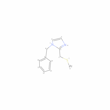 [CH2]C(C)SCc1nccn1Cc1ccccc1